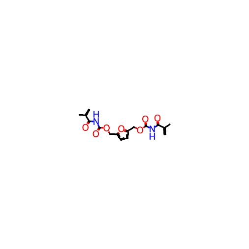 C=C(C)C(=O)NC(=O)OCc1ccc(COC(=O)NC(=O)C(=C)C)o1